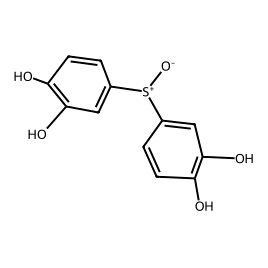 [O-][S+](c1ccc(O)c(O)c1)c1ccc(O)c(O)c1